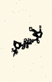 CC(C)(CNC(=O)c1ccc(F)c(Cl)c1)S(=O)(=O)c1cccc(C(F)(F)F)c1